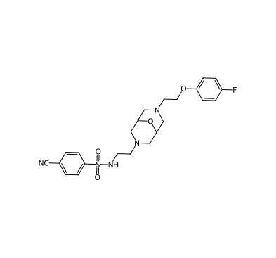 N#Cc1ccc(S(=O)(=O)NCCN2CC3CN(CCOc4ccc(F)cc4)CC(C2)O3)cc1